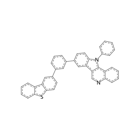 c1ccc(-n2c3ccc(-c4cccc(-c5ccc6sc7ccccc7c6c5)c4)cc3c3cnc4ccccc4c32)cc1